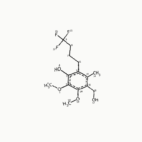 COc1c(O)c(CCCC(F)(F)F)c(C)c(CO)c1OC